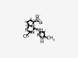 Cc1cc(Nc2nc(Cl)nc3ccc([N+](=O)[O-])n23)n[nH]1